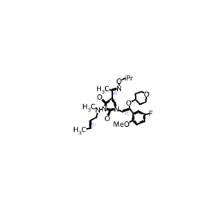 C/C=C/CN(C)n1c(=O)c(/C(C)=N/OC(C)C)cn(/C=C(\OC2CCOCC2)c2cc(F)ccc2OC)c1=O